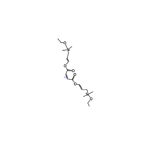 CCO[Si](C)(C)CC=COC(=O)/C=C\C(=O)OC=CC[Si](C)(C)OCC